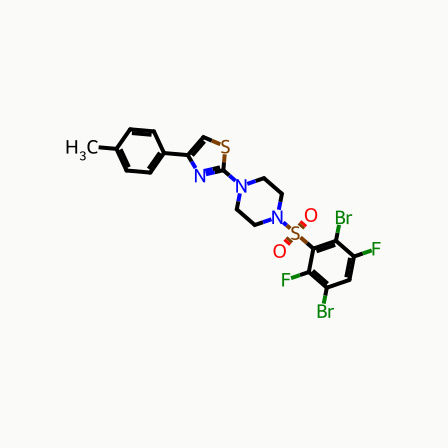 Cc1ccc(-c2csc(N3CCN(S(=O)(=O)c4c(F)c(Br)cc(F)c4Br)CC3)n2)cc1